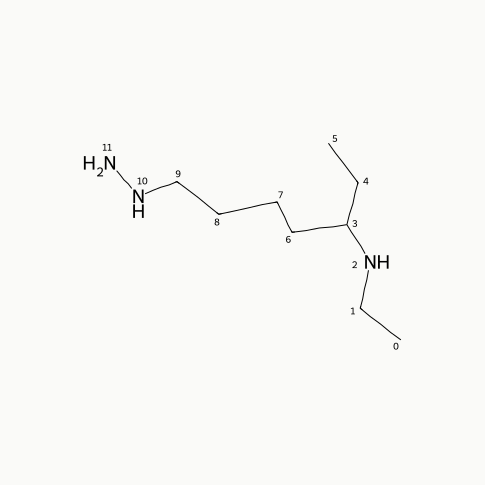 CCNC(CC)CCCCNN